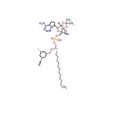 CCCCCCCCCCCCC[C@@H](COP(=O)(O)OC[C@@]1(C#N)O[C@@H](c2ccc3c(N)ncnn23)[C@@H]2OC(C)(C)O[C@@H]21)OCc1cc(F)cc(C#N)c1